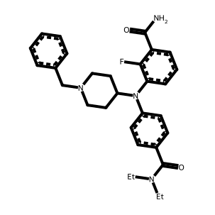 CCN(CC)C(=O)c1ccc(N(c2cccc(C(N)=O)c2F)C2CCN(Cc3ccccc3)CC2)cc1